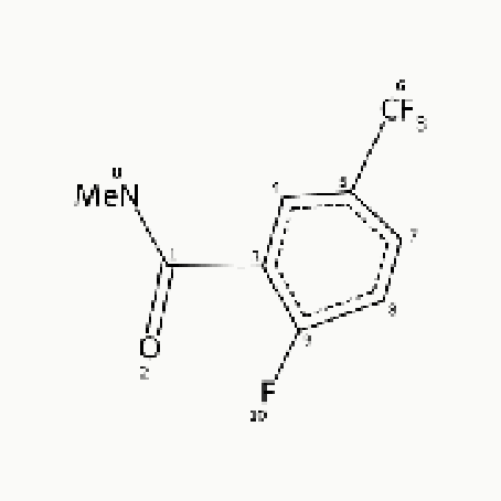 CNC(=O)c1cc(C(F)(F)F)ccc1F